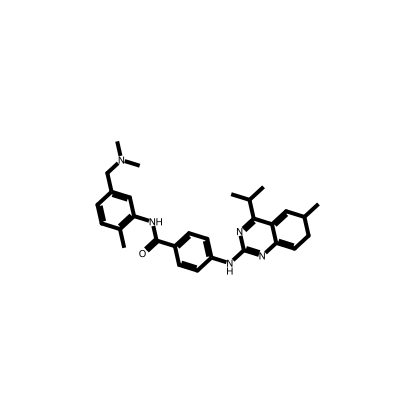 Cc1ccc(CN(C)C)cc1NC(=O)c1ccc(Nc2nc(C(C)C)c3c(n2)=CCC(C)C=3)cc1